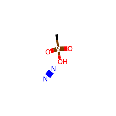 CS(=O)(=O)O.N#N